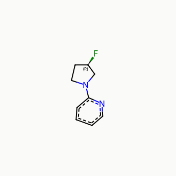 F[C@@H]1CCN(c2ccccn2)C1